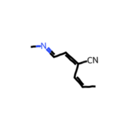 C\C=C/C(C#N)=C\C=N\C